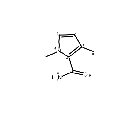 Cc1ccn(C)c1C(N)=O